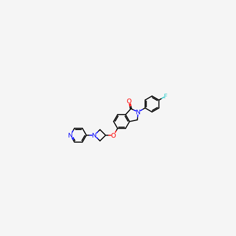 O=C1c2ccc(OC3CN(c4ccncc4)C3)cc2CN1c1ccc(F)cc1